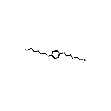 CC(=O)CCCCCOc1ccc(OCCOCC(=O)O)cc1